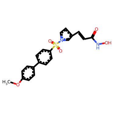 COc1ccc(-c2ccc(S(=O)(=O)n3ccc(C=CC(=O)NO)c3)cc2)cc1